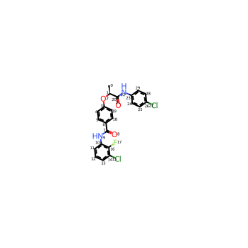 C[C@H](Oc1ccc(C(=O)Nc2cccc(Cl)c2F)cc1)C(=O)Nc1ccc(Cl)cc1